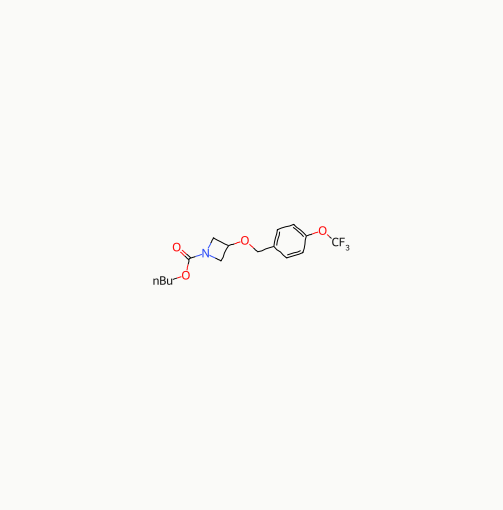 CCCCOC(=O)N1CC(OCc2ccc(OC(F)(F)F)cc2)C1